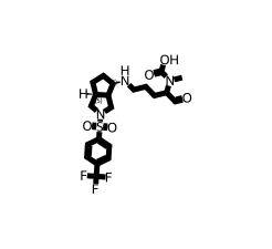 CN(C(=O)O)C(C=O)CCCN[C@H]1CC[C@@H]2CN(S(=O)(=O)c3ccc(C(F)(F)F)cc3)CC21